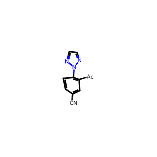 CC(=O)c1cc(C#N)ccc1-n1nccn1